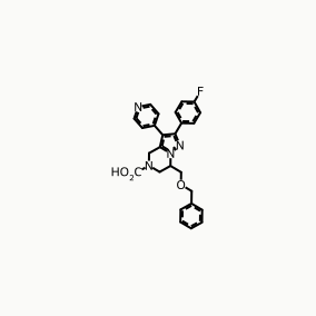 O=C(O)N1Cc2c(-c3ccncc3)c(-c3ccc(F)cc3)nn2C(COCc2ccccc2)C1